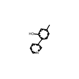 Cc1ccc(-c2cccnc2)c(O)c1